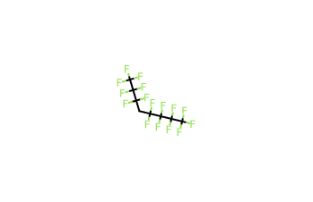 FC(F)(F)C(F)(F)C(F)(F)CC(F)(F)C(F)(F)C(F)(F)C(F)(F)F